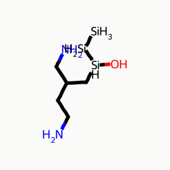 NCCC(CN)C[SiH](O)[SiH2][SiH3]